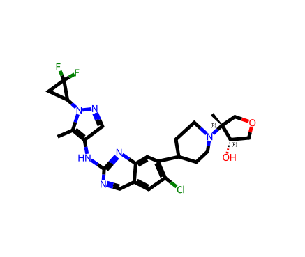 Cc1c(Nc2ncc3cc(Cl)c(C4CCN([C@]5(C)COC[C@@H]5O)CC4)cc3n2)cnn1C1CC1(F)F